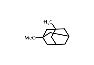 [CH2]C12CC3CC(C1)CC(OC)(C3)C2